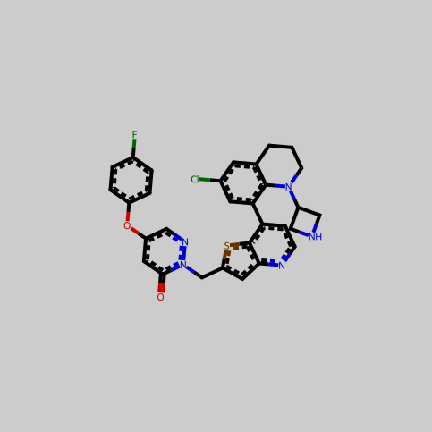 O=c1cc(Oc2ccc(F)cc2)cnn1Cc1cc2nccc(-c3cc(Cl)cc4c3N(C3CNC3)CCC4)c2s1